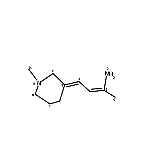 C/C(N)=C/C=C1\CCCN(C)C1